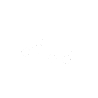 O=C(N[C@@H]1c2ccccc2C[C@@H]1OCc1ccc(-c2cccc(C(F)(F)F)c2)cc1)C(F)(F)F